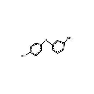 CCCc1ccc(Oc2cccc([N+](=O)[O-])c2)cc1